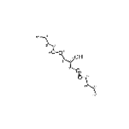 CCCCOOCC(O)COOCCCC